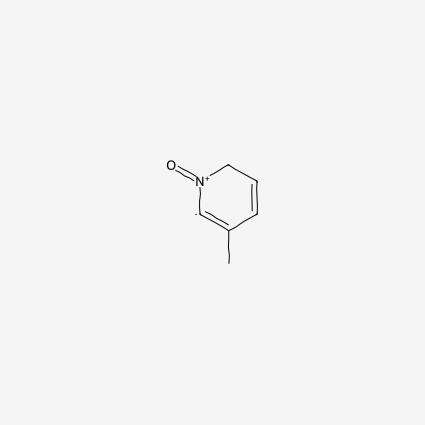 CC1=[C][N+](=O)CC=C1